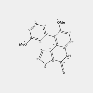 COc1cncc(-c2c(OC)ccc3[nH]c(=O)c4sccc4c23)c1